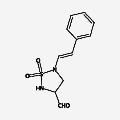 O=CC1CN(C=Cc2ccccc2)S(=O)(=O)N1